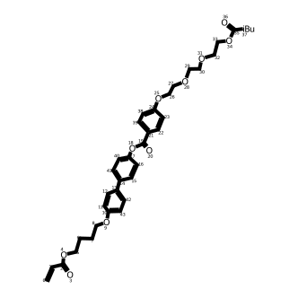 C=CC(=O)OCCCCOc1ccc(-c2ccc(OC(=O)c3ccc(OCCOCCOCCOC(=O)C(C)CC)cc3)cc2)cc1